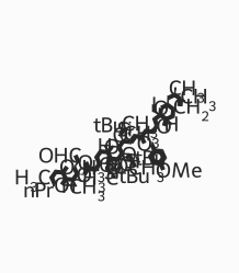 C=C(C)[C@H](C)C[C@H]1CC[C@@H]2OC(CCC(/C=C/[C@H](O[Si](C)(C)C(C)(C)C)[C@@H]3O[C@H]4CCC(CC(=O)O[C@@H]5[C@@H](C)[C@@H]6O[C@H](CCC)[C@H](C)CC6O[C@H]5CC=O)O[C@@H]4[C@H](O[Si](C)(C)C(C)(C)C)[C@@H]3O[Si](C)(C)C(C)(C)C)OCc3ccc(OC)cc3)C[C@]2(CI)O1